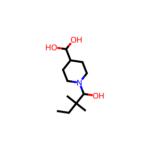 CCC(C)(C)C(O)N1CCC(C(O)O)CC1